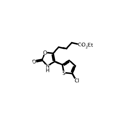 CCOC(=O)CCCc1oc(=O)[nH]c1-c1ccc(Cl)s1